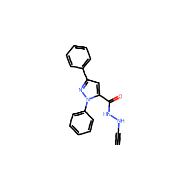 C#CNNC(=O)c1cc(-c2ccccc2)nn1-c1ccccc1